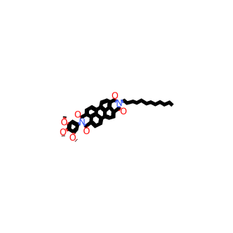 CCCCCCCCCCCCN1C(=O)c2ccc3c4ccc5c6c(ccc(c7ccc(c2c37)C1=O)c64)C(=O)N(c1cc(OC)c(OC)c(OC)c1)C5=O